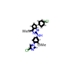 CNc1nc(Nc2ccc(-n3cnc(Cl)c3)c(OC)c2)nc2c1CC[C@@H]2c1ccc(Cl)cc1